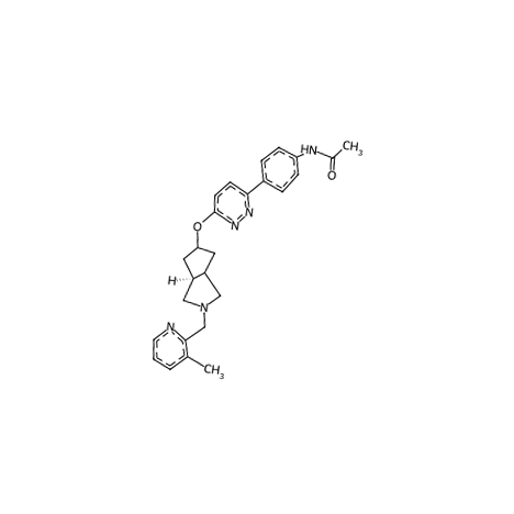 CC(=O)Nc1ccc(-c2ccc(OC3CC4CN(Cc5ncccc5C)C[C@H]4C3)nn2)cc1